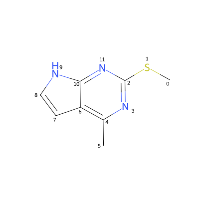 CSc1nc(C)c2cc[nH]c2n1